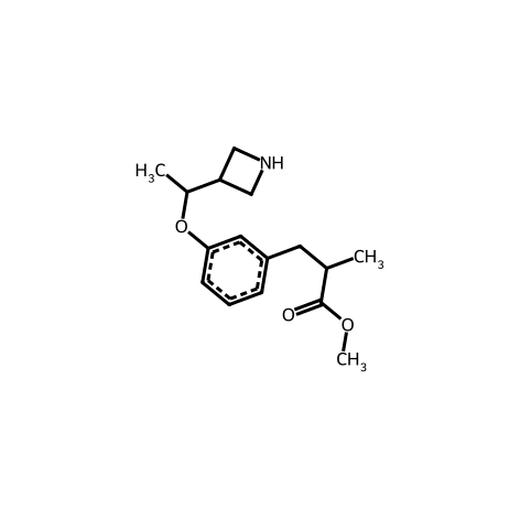 COC(=O)C(C)Cc1cccc(OC(C)C2CNC2)c1